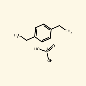 CCc1ccc(CC)cc1.O=[PH](O)O